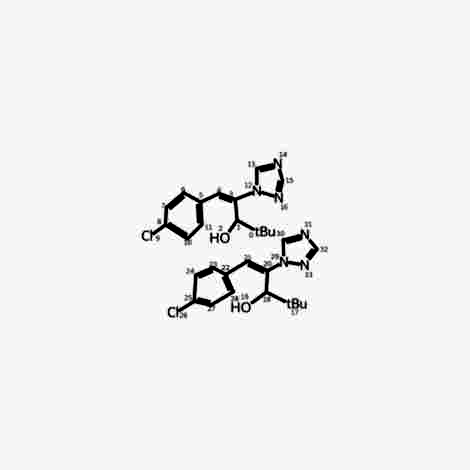 CC(C)(C)C(O)/C(=C\c1ccc(Cl)cc1)n1cncn1.CC(C)(C)C(O)/C(=C\c1ccc(Cl)cc1)n1cncn1